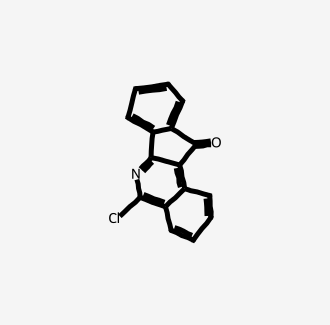 O=C1c2ccccc2-c2nc(Cl)c3ccccc3c21